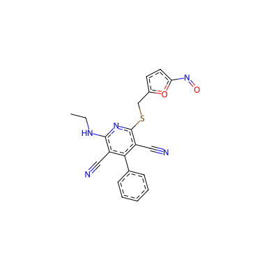 CCNc1nc(SCc2ccc(N=O)o2)c(C#N)c(-c2ccccc2)c1C#N